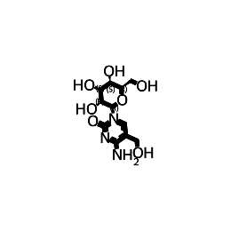 Nc1nc(=O)n([C@@H]2O[C@H](CO)[C@@H](O)[C@H](O)[C@H]2O)cc1CO